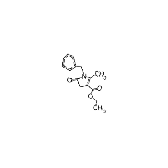 CCOC(=O)C1=C(C)N(Cc2ccccc2)C(=O)C1